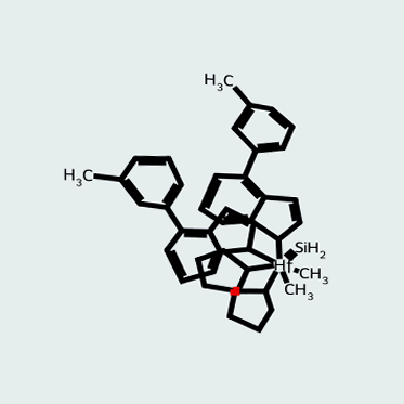 Cc1cccc(-c2cccc3c2C=C[CH]3[Hf]([CH3])([CH3])(=[SiH2])([CH]2CCCC2)([CH]2CCCC2)[CH]2C=Cc3c(-c4cccc(C)c4)cccc32)c1